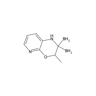 BC1(B)Nc2cccnc2OC1C